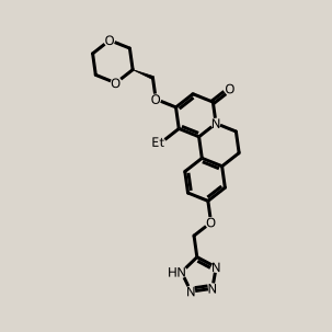 CCc1c(OC[C@@H]2COCCO2)cc(=O)n2c1-c1ccc(OCc3nnn[nH]3)cc1CC2